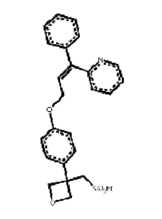 CCOC(=O)CC1(c2ccc(OCC=C(c3ccccc3)c3ccccn3)cc2)COC1